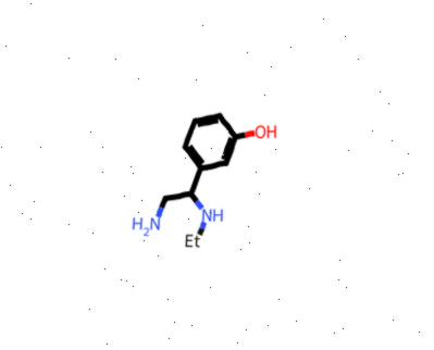 CCNC(CN)c1cccc(O)c1